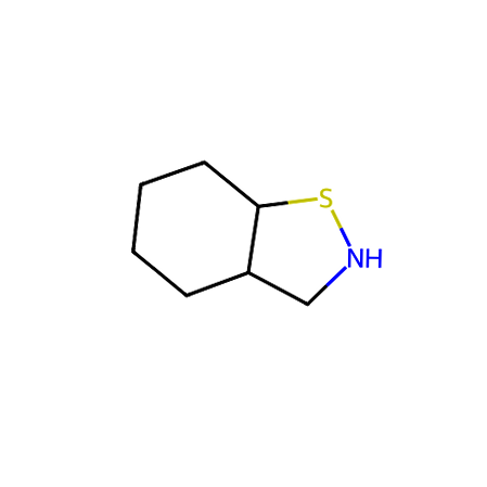 C1CCC2SNCC2C1